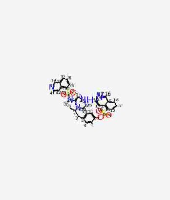 CC(Cc1ccc(OS(=O)(=O)c2cccc3cnccc23)cc1)N1CCNCC1N(C)S(=O)(=O)c1cccc2cnccc12